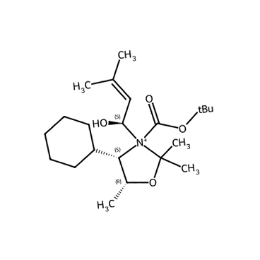 CC(C)=C[C@H](O)[N+]1(C(=O)OC(C)(C)C)[C@@H](C2CCCCC2)[C@@H](C)OC1(C)C